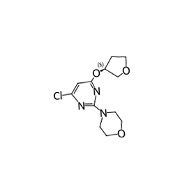 Clc1cc(O[C@H]2CCOC2)nc(N2CCOCC2)n1